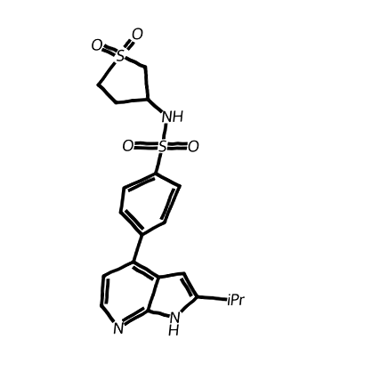 CC(C)c1cc2c(-c3ccc(S(=O)(=O)NC4CCS(=O)(=O)C4)cc3)ccnc2[nH]1